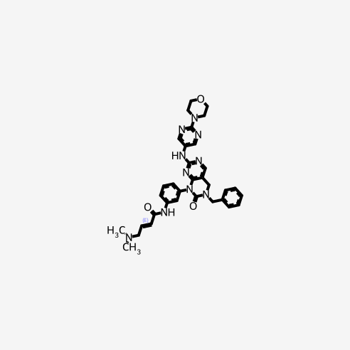 CN(C)C/C=C/C(=O)Nc1cccc(N2C(=O)N(Cc3ccccc3)Cc3cnc(Nc4cnc(N5CCOCC5)nc4)nc32)c1